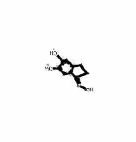 O/N=C1\CCc2cc(O)c(O)cc21